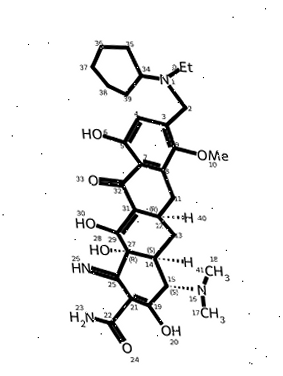 CCN(Cc1cc(O)c2c(c1OC)C[C@H]1C[C@H]3[C@H](N(C)C)C(O)=C(C(N)=O)C(=N)[C@@]3(O)C(O)=C1C2=O)C1CCCCC1